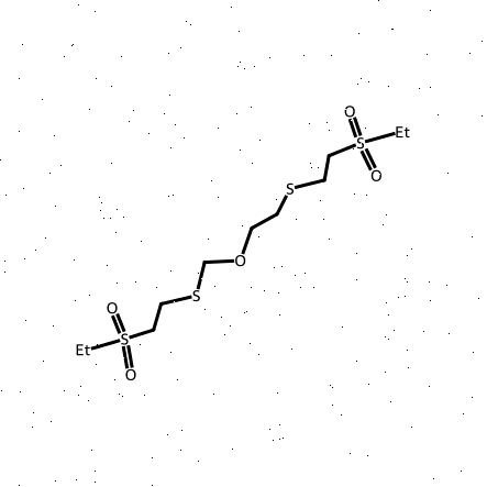 CCS(=O)(=O)CCSCCOCSCCS(=O)(=O)CC